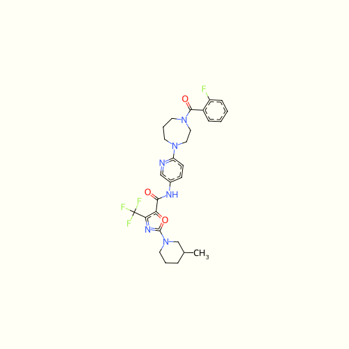 CC1CCCN(c2nc(C(F)(F)F)c(C(=O)Nc3ccc(N4CCCN(C(=O)c5ccccc5F)CC4)nc3)o2)C1